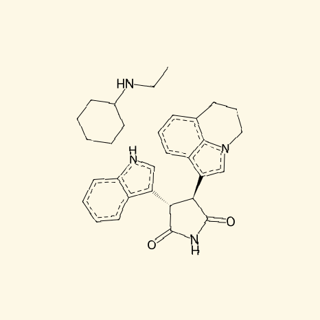 CCNC1CCCCC1.O=C1NC(=O)[C@H](c2cn3c4c(cccc24)CCC3)[C@H]1c1c[nH]c2ccccc12